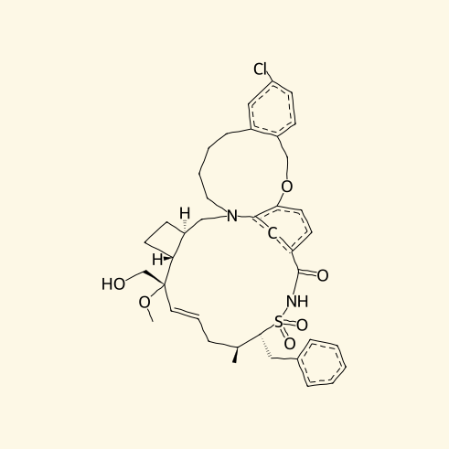 CO[C@@]1(CO)/C=C/C[C@H](C)[C@@H](Cc2ccccc2)S(=O)(=O)NC(=O)c2ccc3c(c2)N(CCCCc2cc(Cl)ccc2CO3)C[C@@H]2CC[C@H]21